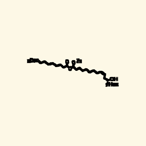 CCCCCCCCCCCCCCCCCC(=O)OC(=O)CCCCCCC/C=C\C[C@H](O)CCCCCC.[Zn]